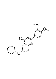 COc1ccc(-c2cc(=O)n3cc(OC4CCCCC4)ccc3n2)cc1OC